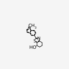 Cn1ccc2cc(-c3nc4c(s3)C(O)CCC4)ccc21